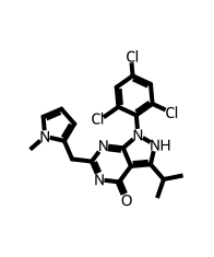 CC(C)c1[nH]n(-c2c(Cl)cc(Cl)cc2Cl)c2nc(Cc3cccn3C)nc(=O)c1-2